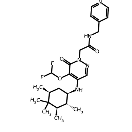 C[C@@H]1[C@@H](C)C(C)(C)[C@@H](C)C[C@H]1Nc1cnn(CC(=O)NCc2ccncc2)c(=O)c1OC(F)F